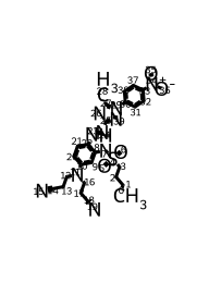 CCCCS(=O)(=O)Nc1cc(N(CCC#N)CCC#N)ccc1N=Nc1nc(C)n(-c2ccc([N+](=O)[O-])cc2)n1